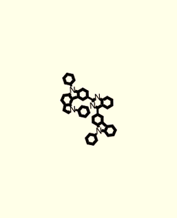 c1ccc(-n2ccc3ccc4c(c5cc(-c6nc(-c7ccc8c(c7)c7ccccc7n8-c7ccccc7)c7ccccc7n6)ccc5n4-c4ccccc4)c32)cc1